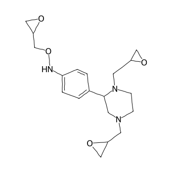 c1cc(C2CN(CC3CO3)CCN2CC2CO2)ccc1NOCC1CO1